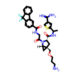 CC(NC(=O)[C@@H]1C[C@]2(COCCCN)C[C@@H]2N1C(=O)CNC(=O)c1ccc2c(c1)-c1ccccc1C2(F)F)c1cc(C(=N)N)cs1